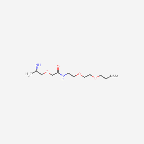 CNCCOCCOCCNC(=O)COCC(C)=N